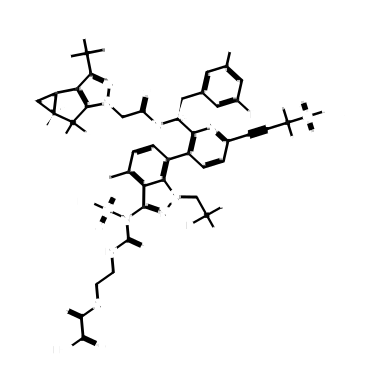 CC(C)(C#Cc1ccc(-c2ccc(Cl)c3c(N(C(=O)NCCNC(=O)C(=O)O)S(C)(=O)=O)nn(CC(F)(F)F)c23)c([C@H](Cc2cc(F)cc(F)c2)NC(=O)Cn2nc(C(F)(F)F)c3c2C(F)(F)[C@@H]2CC32)n1)S(C)(=O)=O